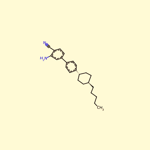 CCCCC[C@H]1CC[C@H](c2ccc(-c3ccc(C#N)c(N)c3)cc2)CC1